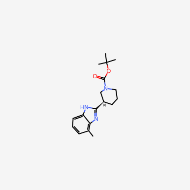 Cc1cccc2[nH]c([C@@H]3CCCN(C(=O)OC(C)(C)C)C3)nc12